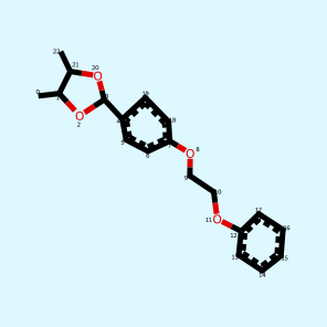 CC1OC(c2ccc(OCCOc3ccccc3)cc2)OC1C